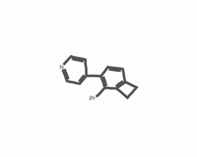 CC(C)c1c(-c2ccncc2)ccc2c1CC2